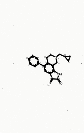 O=C1Nc2c(cc(-c3ccccc3)c3c2CN(CC2CC2)CC3)C1=O